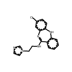 Clc1ccc2c(c1)N=C(NCCn1ccnc1)c1ccccc1N2